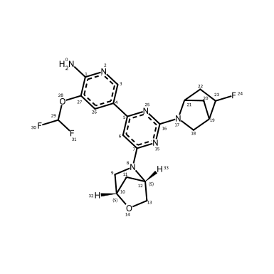 Nc1ncc(-c2cc(N3C[C@@H]4C[C@H]3CO4)nc(N3CC4CC3CC4F)n2)cc1OC(F)F